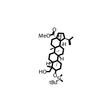 C=C(C)[C@@H]1CC[C@]2(C(=O)OC)CC[C@]3(C)[C@H](CC[C@@H]4[C@@]5(C)CCC(O[Si](C)(C)C(C)(C)C)C(C)(CO)[C@@H]5CC[C@]43C)[C@@H]12